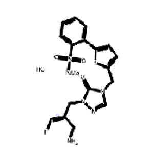 CNS(=O)(=O)c1ccccc1-c1ccc(Cn2cnn(C/C(=C/F)CN)c2=O)s1.Cl